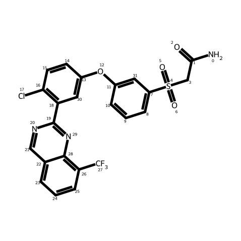 NC(=O)CS(=O)(=O)c1cccc(Oc2ccc(Cl)c(-c3ncc4cccc(C(F)(F)F)c4n3)c2)c1